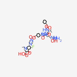 CCn1cc(C(=O)O)c(=O)c2cc(F)c(N3CCN(C(=O)OCc4ccc(NC(=O)[C@H](CCCNC(N)O)NC(=O)[C@@H](NC(=O)OCc5ccccc5)C(C)C)cc4)CC3)cc21